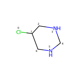 ClC1CNCNC1